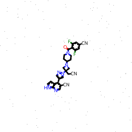 N#CCC1(n2cc(-c3c(C#N)cnc4[nH]ccc34)cn2)CN(C2CCN(C(=O)c3c(F)cc(C#N)cc3F)CC2)C1